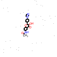 CC(=O)Nc1ccc2oc(-c3ccc(-n4ccnc4)cc3)c(O)c(=O)c2c1